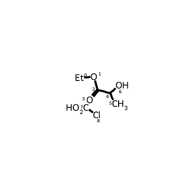 CCOC(=O)C(C)O.O=C(O)Cl